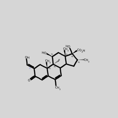 CC1=CC2C3C[C@@H](C)[C@](O)(C(=O)O)[C@@]3(C)C[C@H](O)[C@]2(F)[C@@]2(C)C/C(=C\O)C(=O)C=C12